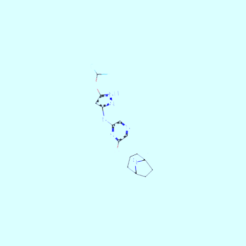 C[C@@H]1[C@H](Oc2cncc(Nc3cc(OC(F)F)[nH]n3)n2)C[C@H]2CC[C@@H]1N2C